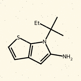 CCC(C)(C)n1c(N)cc2ccsc21